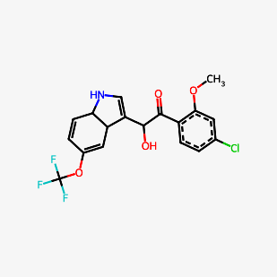 COc1cc(Cl)ccc1C(=O)C(O)C1=CNC2C=CC(OC(F)(F)F)=CC12